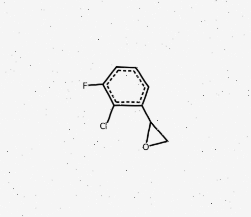 Fc1cccc(C2CO2)c1Cl